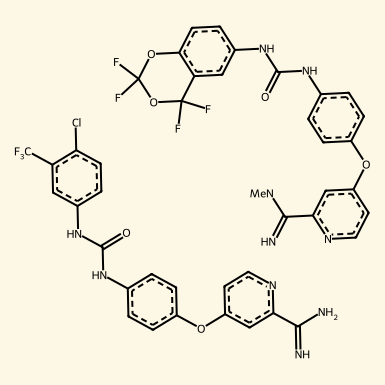 CNC(=N)c1cc(Oc2ccc(NC(=O)Nc3ccc4c(c3)C(F)(F)OC(F)(F)O4)cc2)ccn1.N=C(N)c1cc(Oc2ccc(NC(=O)Nc3ccc(Cl)c(C(F)(F)F)c3)cc2)ccn1